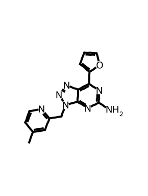 Cc1ccnc(Cn2nnc3c(-c4ccco4)nc(N)nc32)c1